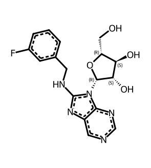 OC[C@H]1O[C@@H](n2c(NCc3cccc(F)c3)nc3cncnc32)[C@@H](O)[C@@H]1O